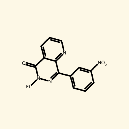 CCn1nc(-c2cccc([N+](=O)[O-])c2)c2ncccc2c1=O